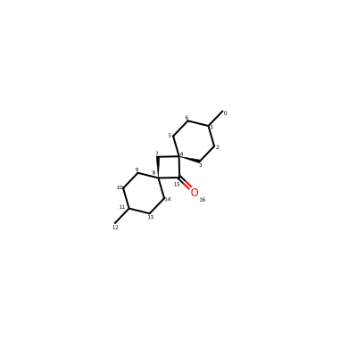 CC1CC[C@]2(CC1)C[C@@]1(CCC(C)CC1)C2=O